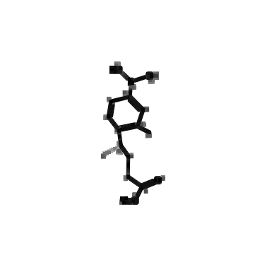 COC(=O)CC[C@H](C)c1ccc(B(O)O)cc1C